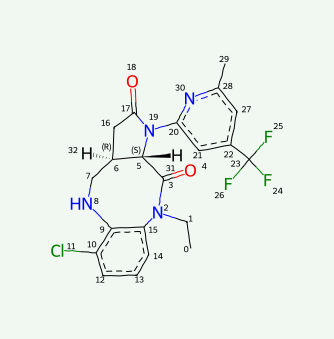 CCN1C(=O)[C@@H]2[C@@H](CNc3c(Cl)cccc31)CC(=O)N2c1cc(C(F)(F)F)cc(C)n1